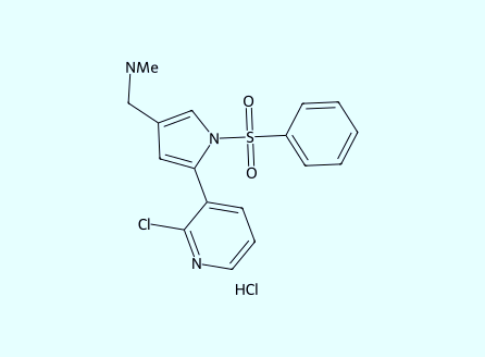 CNCc1cc(-c2cccnc2Cl)n(S(=O)(=O)c2ccccc2)c1.Cl